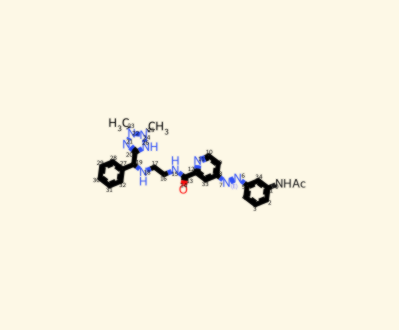 CC(=O)Nc1cccc(/N=N/c2ccnc(C(=O)NCCNC(C3=NN(C)N(C)N3)c3ccccc3)c2)c1